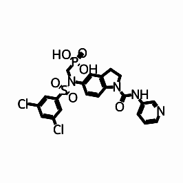 O=C(Nc1cccnc1)N1CCc2cc(N(CP(=O)(O)O)S(=O)(=O)c3cc(Cl)cc(Cl)c3)ccc21